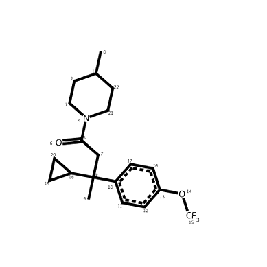 CC1CCN(C(=O)CC(C)(c2ccc(OC(F)(F)F)cc2)C2CC2)CC1